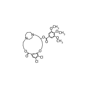 COc1cc(C(=O)OC2CCCOc3cc(cc(Cl)c3Cl)C(=O)OCCCN3CCCN(CC2)CC3)cc(OC)c1OC